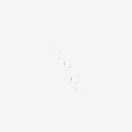 CC(=O)Nc1ccc(Oc2ccc(C(=O)N[C@@H]3C[C@@H]4CCN(C4)C3)cc2)cc1